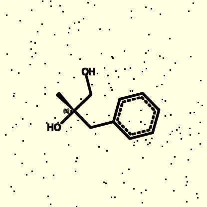 C[C@@](O)(CO)Cc1ccccc1